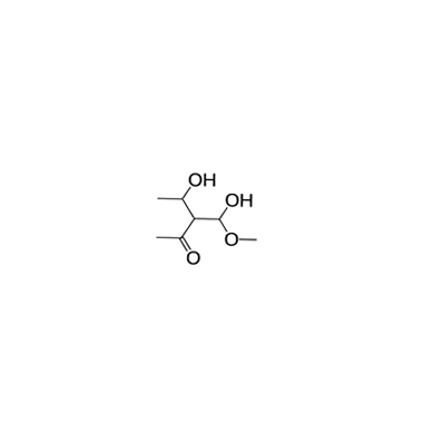 COC(O)C(C(C)=O)C(C)O